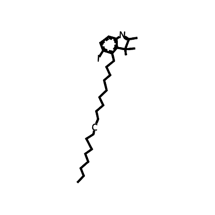 CCCCCCCCCCCCCCCCCCc1c(I)ccc2c1C(C)(C)C(C)=N2